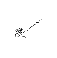 CCCCCCCCCCCCCCC(CCC)c1ccccc1S(=O)(=O)O